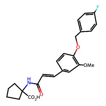 COc1cc(C=CC(=O)NC2(C(=O)O)CCCC2)ccc1OCc1ccc(F)cc1